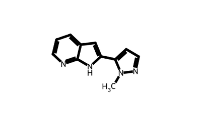 Cn1nccc1-c1cc2cccnc2[nH]1